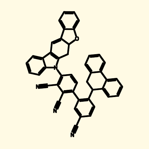 N#Cc1ccc(C2Cc3ccccc3-c3ccccc32)c(-c2ccc(-n3c4c(c5ccccc53)C=C3c5ccccc5OC3C4)c(C#N)c2C#N)c1